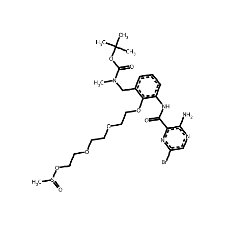 CN(Cc1cccc(NC(=O)c2nc(Br)cnc2N)c1OCCOCCOCCOS(C)=O)C(=O)OC(C)(C)C